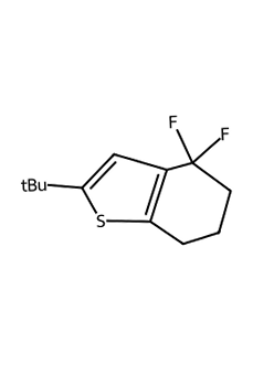 CC(C)(C)c1cc2c(s1)CCCC2(F)F